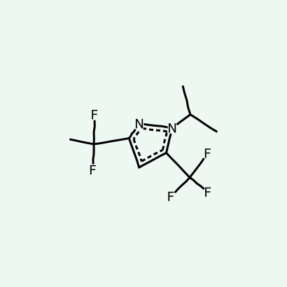 CC(C)n1nc(C(C)(F)F)cc1C(F)(F)F